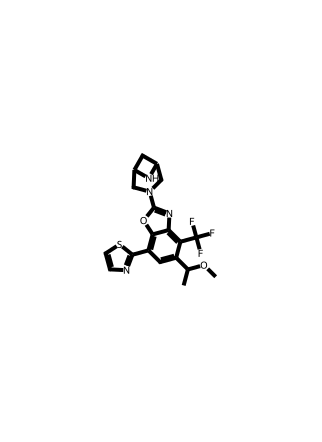 COC(C)c1cc(-c2nccs2)c2oc(N3CC4CC(C3)N4)nc2c1C(F)(F)F